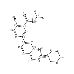 CC(C)NC(=O)c1cc(-c2ccc3ncc(N4CCCCC4)nc3c2)ccc1F